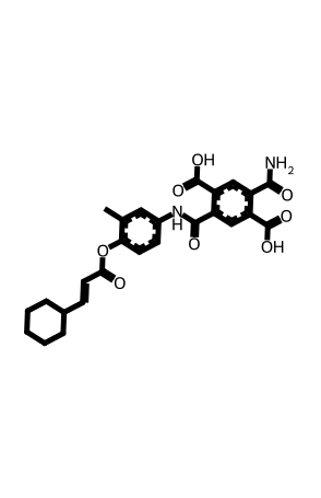 Cc1cc(NC(=O)c2cc(C(=O)O)c(C(N)=O)cc2C(=O)O)ccc1OC(=O)/C=C/C1CCCCC1